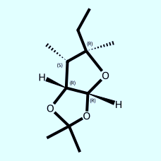 CC[C@@]1(C)O[C@@H]2OC(C)(C)O[C@@H]2[C@@H]1C